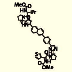 COC(=O)NC(C(=O)N1CCC[C@@]1(C)c1ncc(-c2ccc3cc(-c4ccc(-c5cnc([C@@H]6CCCN6C(=O)[C@@H](NC(=O)OC)c6ccsc6)[nH]5)cc4)ccc3c2)[nH]1)C(C)C